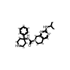 CC(C)Nc1ncc2c(n1)CN(C(=O)NC1(c3ccccc3)CCNCC1)CC2